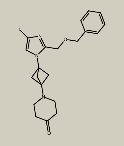 O=C1CCN(C23CC(n4cc(I)nc4COCc4ccccc4)(C2)C3)CC1